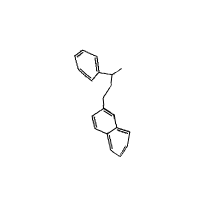 C[C](CCc1ccc2ccccc2c1)c1ccccc1